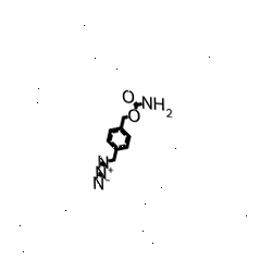 [N-]=[N+]=NCc1ccc(COC(N)=O)cc1